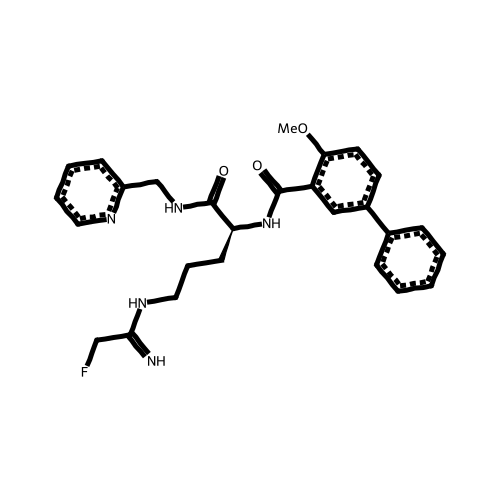 COc1ccc(-c2ccccc2)cc1C(=O)N[C@@H](CCCNC(=N)CF)C(=O)NCc1ccccn1